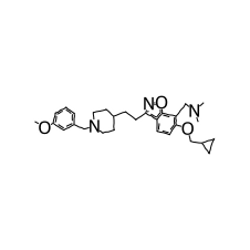 COc1cccc(CN2CCC(CCc3noc4c(CN(C)C)c(OCC5CC5)ccc34)CC2)c1